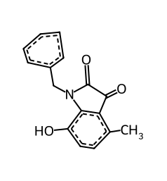 Cc1ccc(O)c2c1C(=O)C(=O)N2Cc1ccccc1